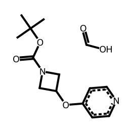 CC(C)(C)OC(=O)N1CC(Oc2ccncc2)C1.O=CO